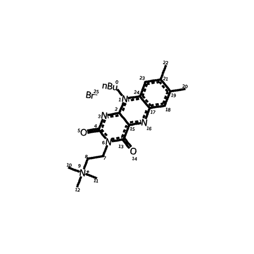 CCCCn1c2nc(=O)n(CC[N+](C)(C)C)c(=O)c-2nc2cc(C)c(C)cc21.[Br-]